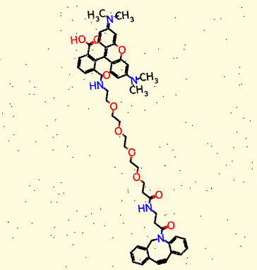 CN(C)c1ccc2c(-c3c(C(=O)O)cccc3C(=O)NCCOCCOCCOCCOCCC(=O)NCCC(=O)N3Cc4ccccc4C#Cc4ccccc43)c3ccc(=[N+](C)C)cc-3oc2c1